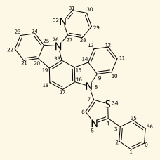 c1ccc(-c2ncc(-n3c4ccccc4c4c3ccc3c5ccccc5n(-c5ccccn5)c34)s2)cc1